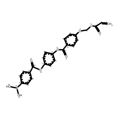 C=CC(=O)OCOc1ccc(C(=O)Oc2ccc(OC(=O)c3ccc(B(O)O)cc3)cc2)cc1